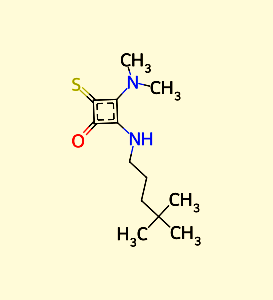 CN(C)c1c(NCCCC(C)(C)C)c(=O)c1=S